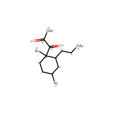 CC(=O)OCCC1CC(C(C)=O)CCC1(C(C)=O)C(=O)C(=O)OC(C)=O